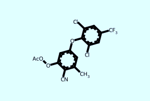 CC(=O)OOc1cc(Oc2c(Cl)cc(C(F)(F)F)cc2Cl)cc(C)c1C#N